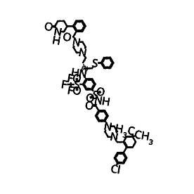 CC1(C)CCC(c2ccc(Cl)cc2)=C(CN2CCN(c3ccc(C(=O)NS(=O)(=O)c4ccc(N[C@H](CCN5CCN(Cc6ccccc6C6CCC(=O)NC6=O)CC5)CSc5ccccc5)c(S(=O)(=O)C(F)(F)F)c4)cc3)CC2)C1